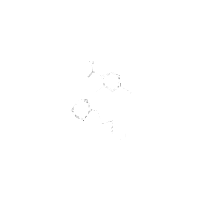 NC(=O)c1ccc(Br)cc1O.O=C(O)CCCc1ccccc1